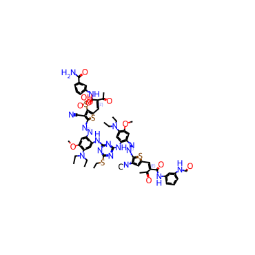 [C-]#[N+]c1cc(/C=C(\C(C)=O)C(=O)Nc2cccc(NC=O)c2)sc1/N=N/c1cc(OC)c(N(CC)CC)cc1Nc1nc(Nc2cc(N(CC)CC)c(OC)cc2/N=N/c2sc(/C=C(/C(C)=O)C(=O)Nc3cccc(C(N)=O)c3)c(S(=O)(=O)O)c2C#N)nc(SCC)n1